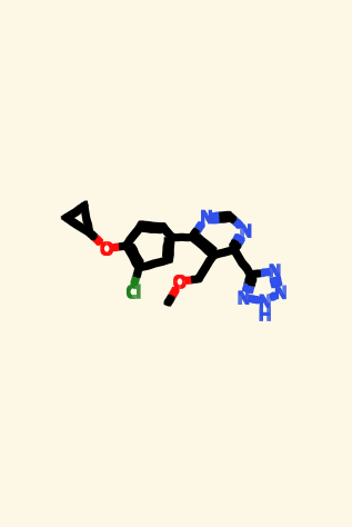 COCc1c(-c2ccc(OC3CC3)c(Cl)c2)ncnc1-c1nn[nH]n1